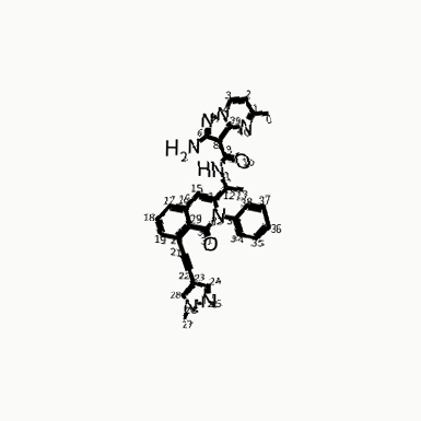 Cc1ccn2nc(N)c(C(=O)NC(C)c3cc4cccc(C#Cc5cnn(C)c5)c4c(=O)n3-c3ccccc3)c2n1